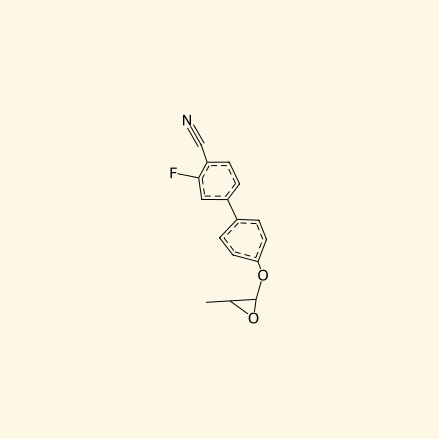 CC1OC1Oc1ccc(-c2ccc(C#N)c(F)c2)cc1